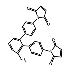 Nc1cccc(-c2ccc(N3C(=O)C=CC3=O)cc2)c1-c1ccc(N2C(=O)C=CC2=O)cc1